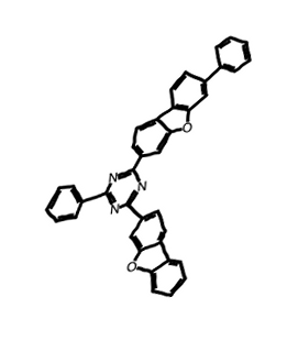 c1ccc(-c2ccc3c(c2)oc2cc(-c4nc(-c5ccccc5)nc(-c5ccc6c(c5)oc5ccccc56)n4)ccc23)cc1